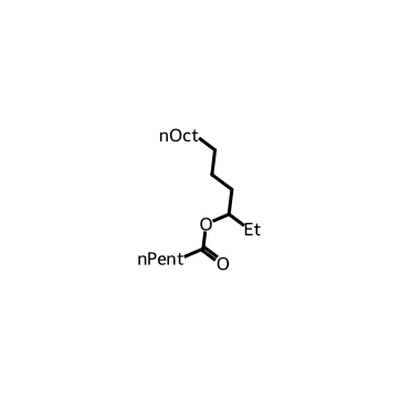 CCCCCCCCCCCC(CC)OC(=O)CCCCC